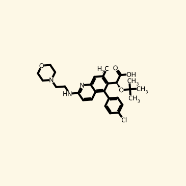 Cc1cc2nc(NCCN3CCOCC3)ccc2c(-c2ccc(Cl)cc2)c1[C@H](OC(C)(C)C)C(=O)O